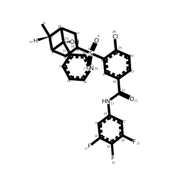 C[C@H]1C2CC(S(=O)(=O)c3cc(C(=O)Nc4cc(F)c(F)c(F)c4)ccc3Cl)CC1[C@@]2(O)c1cccnc1